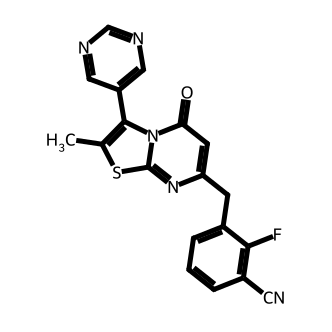 Cc1sc2nc(Cc3cccc(C#N)c3F)cc(=O)n2c1-c1cncnc1